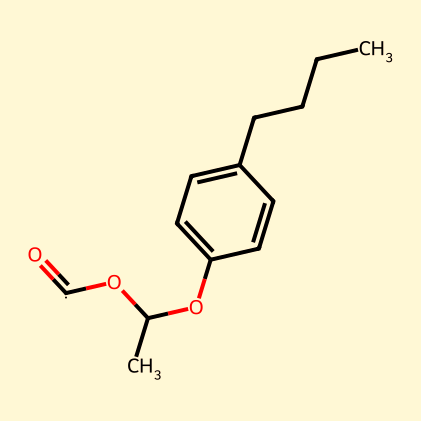 CCCCc1ccc(OC(C)O[C]=O)cc1